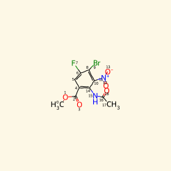 COC(=O)c1cc(F)c(Br)c([N+](=O)[O-])c1NC(C)=O